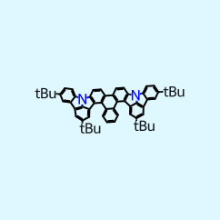 CC(C)(C)c1ccc2c(c1)c1cc(C(C)(C)C)cc3c4c5c6ccccc6c6c(ccc7c6c6cc(C(C)(C)C)cc8c9cc(C(C)(C)C)ccc9n7c86)c5ccc4n2c13